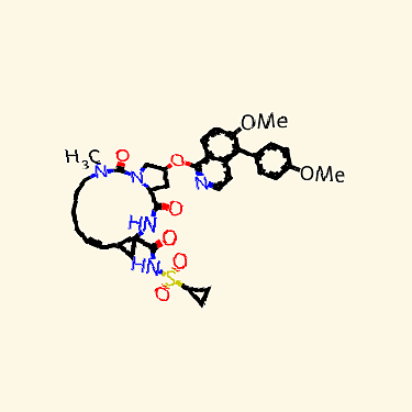 COc1ccc(-c2c(OC)ccc3c(OC4CC5C(=O)NC6(C(=O)NS(=O)(=O)C7CC7)CC6/C=C\CCCCN(C)C(=O)N5C4)nccc23)cc1